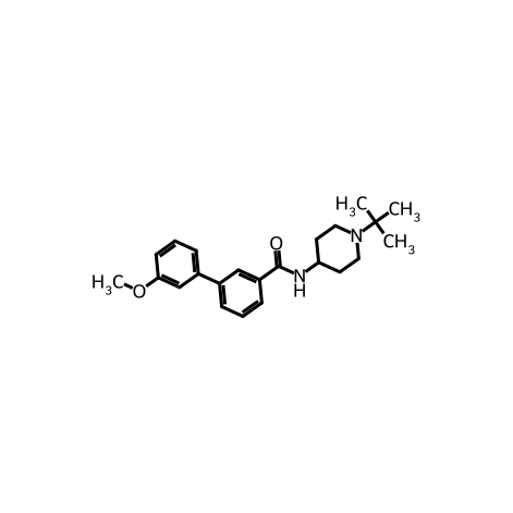 COc1cccc(-c2cccc(C(=O)NC3CCN(C(C)(C)C)CC3)c2)c1